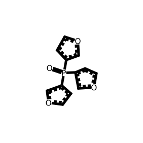 O=P(c1ccoc1)(c1ccoc1)c1ccoc1